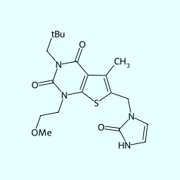 COCCn1c(=O)n(CC(C)(C)C)c(=O)c2c(C)c(Cn3cc[nH]c3=O)sc21